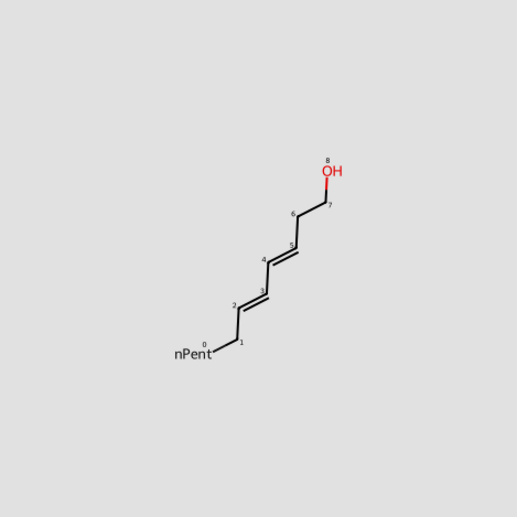 CCCCCC/C=C/C=C/CCO